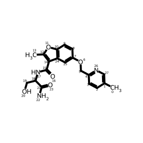 Cc1ccc(COc2ccc3oc(C)c(C(=O)NC(CO)C(N)=O)c3c2)nc1